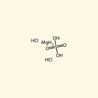 Cl.Cl.O=S(=O)(O)O.[MgH2]